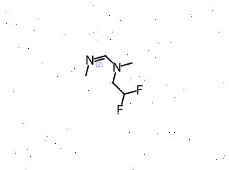 C/N=C\N(C)CC(F)F